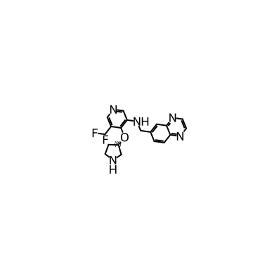 FC(F)c1cncc(NCc2ccc3nccnc3c2)c1O[C@@H]1CCNC1